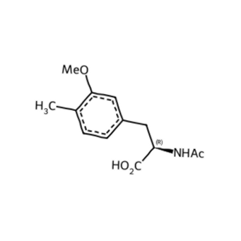 COc1cc(C[C@@H](NC(C)=O)C(=O)O)ccc1C